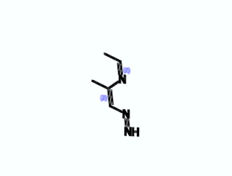 C/C=N\C(C)=C/N=N